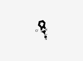 N#[N+]c1nc2ccccc2s1.[Cl-]